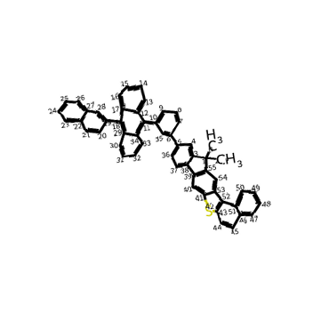 CC1(C)c2cc(-c3cccc(-c4c5ccccc5c(-c5ccc6ccccc6c5)c5ccccc45)c3)ccc2-c2cc3sc4ccc5ccccc5c4c3cc21